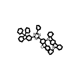 c1ccc(-c2nc(-c3ccc4c(c3)C(c3ccccc3)(c3ccccc3)c3ccccc3-4)nc(-c3cc(-n4c5ccccc5c5cc6c7ccccc7n(-c7ccccc7)c6cc54)c4c(c3)oc3ccccc34)n2)cc1